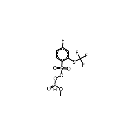 CO[PH](=O)OOS(=O)(=O)c1ccc(F)cc1SC(F)(F)F